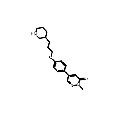 Cn1ncc(-c2ccc(OCCCC3CCCNC3)cc2)cc1=O